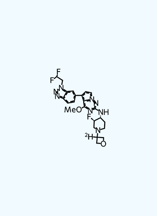 [2H]C1(N2CC[C@@H](Nc3nc(OC)c4c(-c5ccc6nnn(CC(F)F)c6c5)ccn4n3)[C@H](F)C2)COC1